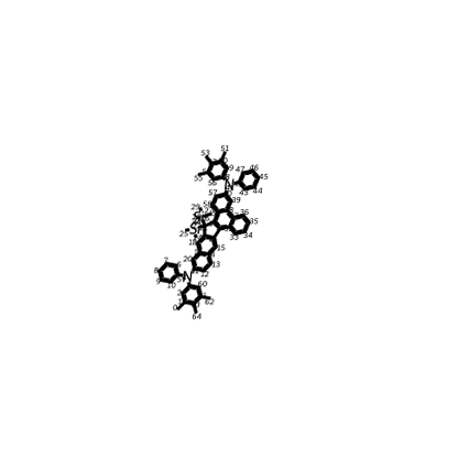 Cc1cc(N(c2ccccc2)c2ccc3cc4c(cc3c2)C([Si](C)(C)C)([Si](C)(C)C)c2c-4c3ccccc3c3cc(N(c4ccccc4)c4cc(C)c(C)c(C)c4)ccc23)cc(C)c1C